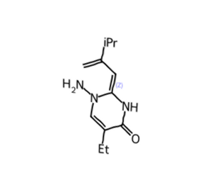 C=C(/C=C1/NC(=O)C(CC)=CN1N)C(C)C